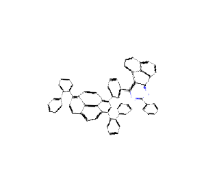 c1ccc(-c2nc(-c3cccc(-c4cc(-c5ccccc5-c5ccccc5)c5ccc6ccc(-c7ccccc7-c7ccccc7)c7ccc4c5c67)c3)c3c(n2)-c2cccc4cccc-3c24)cc1